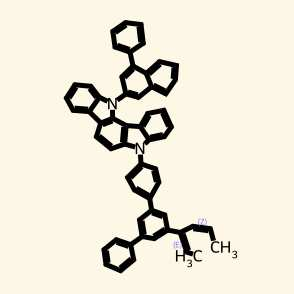 C/C=C\C(=C/C)c1cc(-c2ccccc2)cc(-c2ccc(-n3c4ccccc4c4c3ccc3c5ccccc5n(-c5cc(-c6ccccc6)c6ccccc6c5)c34)cc2)c1